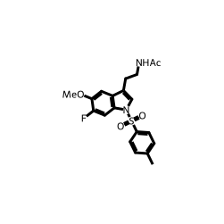 COc1cc2c(CCNC(C)=O)cn(S(=O)(=O)c3ccc(C)cc3)c2cc1F